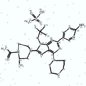 CC(=O)N1CCN(c2nc3c(N4CCOCC4)nc(-c4cnc(N)nc4)nc3n2CC(F)(F)F)C[C@H]1C.CS(=O)(=O)O